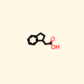 O=C(O)CC1CCc2ccccc21